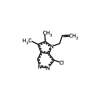 C=CCn1c(C)c(C)c2cnnc(Cl)c21